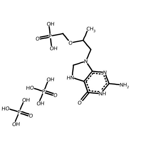 CC(CN1CNc2c1nc(N)[nH]c2=O)OCP(=O)(O)O.O=P(O)(O)O.O=P(O)(O)O